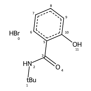 Br.CC(C)(C)NC(=O)c1ccccc1O